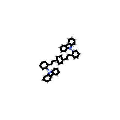 C(=C\c1ccccc1-n1c2ccccc2c2ccccc21)/c1ccc(/C=C/c2ccccc2-n2c3ccccc3c3ccccc32)cc1